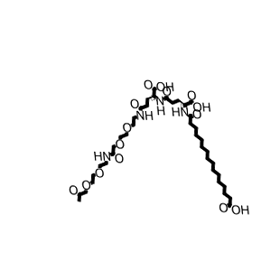 CC(=O)COCCOCCNC(=O)COCCOCCNC(=O)CC[C@H](NC(=O)CC[C@H](NC(=O)CCCCCCCCCCCCCCC(=O)O)C(=O)O)C(=O)O